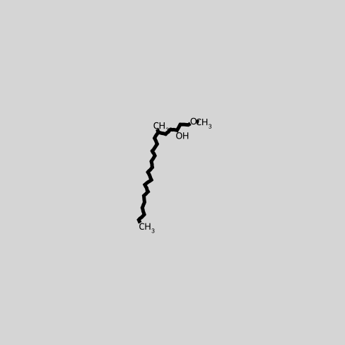 CCCCCCCCCCCCCCCCC(C)CC[C@@H](O)CCOC